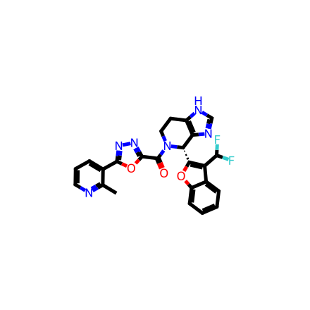 Cc1ncccc1-c1nnc(C(=O)N2CCc3[nH]cnc3[C@@H]2c2oc3ccccc3c2C(F)F)o1